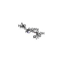 COc1cc2c(cc1OCC13CC(C(=O)N4C[C@@H](CCl)c5c4cc(O)c4cccc(C)c54)(C1)C3)CC/C=C\[C@@H]1CC(c3ccc(NC(=O)[C@H](O)CC4CC4)cc3)=CN1C2=O